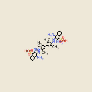 Cc1cc(-c2cc(C)c(/N=N/c3c(N)c(S(=O)(=O)O)c4ccccc4c3N)c(C)c2)cc(C)c1/N=N/c1c(N)c(S(=O)(=O)O)c2ccccc2c1N